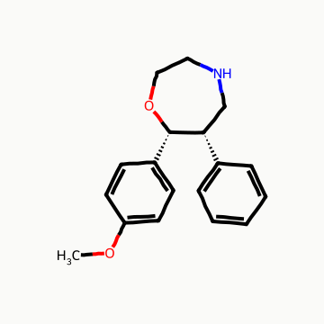 COc1ccc([C@@H]2OCCNC[C@@H]2c2ccccc2)cc1